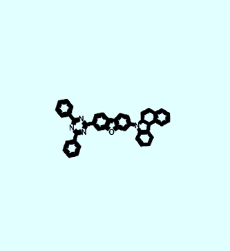 C1=CC2=C(CC1)C1c3ccccc3C=CC1N2c1ccc2c(c1)oc1cc(-c3nc(-c4ccccc4)nc(-c4ccccc4)n3)ccc12